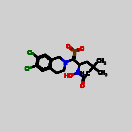 CC(C)(C)CC(C(N1CCc2cc(Cl)c(Cl)cc2C1)=S(=O)=O)N(O)C=O